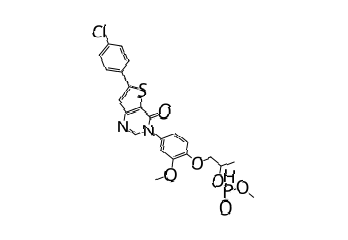 COc1cc(-n2cnc3cc(-c4ccc(Cl)cc4)sc3c2=O)ccc1OCC(C)O[PH](=O)OC